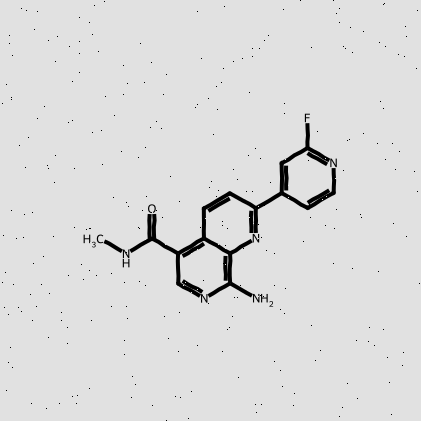 CNC(=O)c1cnc(N)c2nc(-c3ccnc(F)c3)ccc12